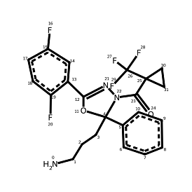 NCCCC1(c2ccccc2)OC(c2cc(F)ccc2F)=NN1C(=O)C1(C(F)(F)F)CC1